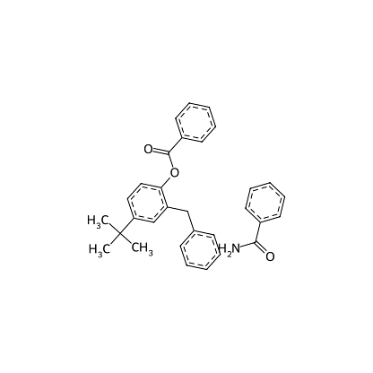 CC(C)(C)c1ccc(OC(=O)c2ccccc2)c(Cc2ccccc2)c1.NC(=O)c1ccccc1